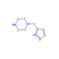 C1=CC(CN2CCNCC2)=[N+]=N1